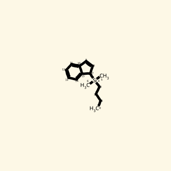 CCCC[Si](C)(C)[C]1C=Cc2ccccc21